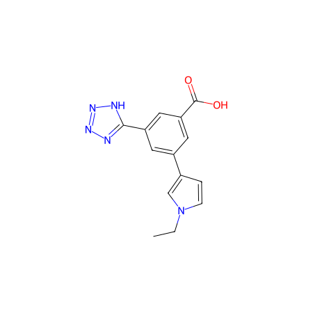 CCn1ccc(-c2cc(C(=O)O)cc(-c3nnn[nH]3)c2)c1